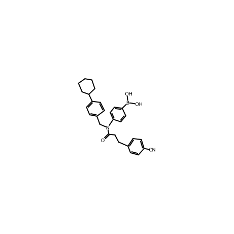 N#Cc1ccc(CCC(=O)N(Cc2ccc(C3CCCCC3)cc2)c2ccc(B(O)O)cc2)cc1